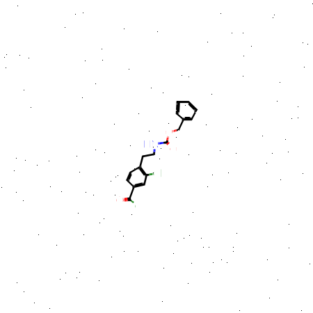 O=C(NCCc1ccc(C(=O)Cl)cc1Cl)OCc1ccccc1